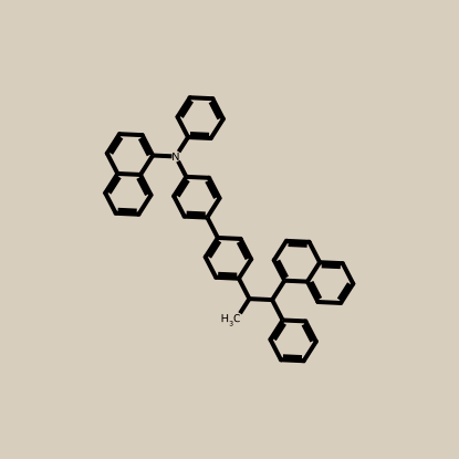 CC(c1ccc(-c2ccc(N(c3ccccc3)c3cccc4ccccc34)cc2)cc1)C(c1ccccc1)c1cccc2ccccc12